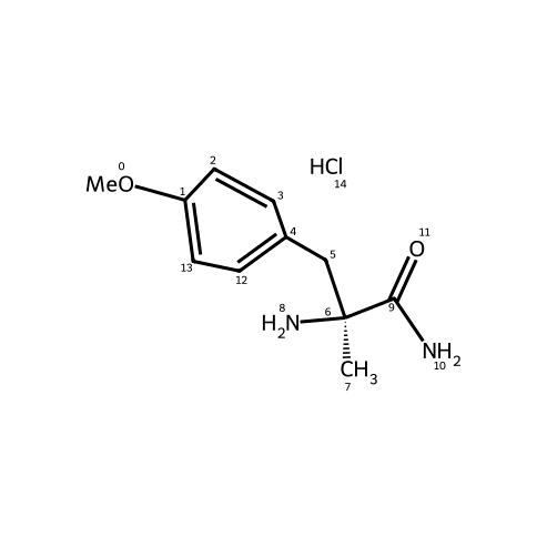 COc1ccc(C[C@](C)(N)C(N)=O)cc1.Cl